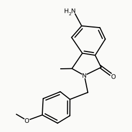 COc1ccc(CN2C(=O)c3ccc(N)cc3C2C)cc1